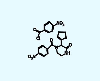 O=C(Cl)c1ccc([N+](=O)[O-])cc1.O=C1NCCN(C(=O)c2ccc([N+](=O)[O-])cc2)C1c1cccs1